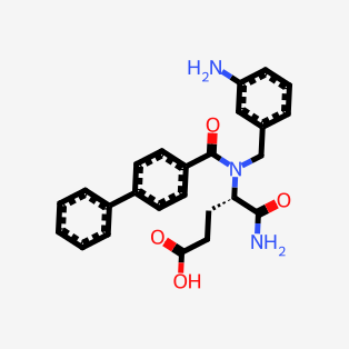 NC(=O)[C@H](CCC(=O)O)N(Cc1cccc(N)c1)C(=O)c1ccc(-c2ccccc2)cc1